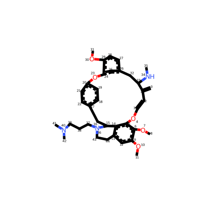 C=C1/C=C/Oc2c(OC)c(OC)cc3c2C(Cc2ccc(cc2)Oc2cc(ccc2OC)CC1NC)N(CCCN(C)C)CC3